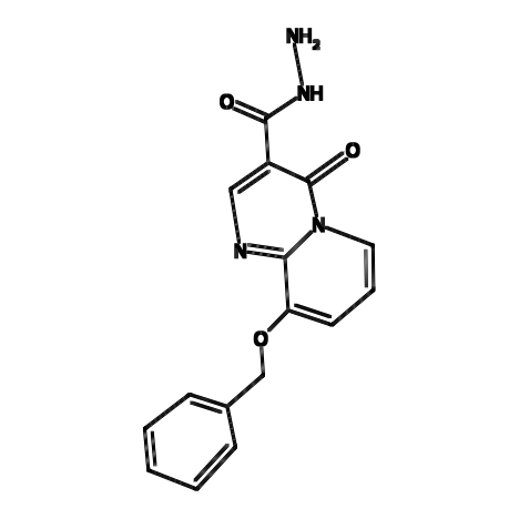 NNC(=O)c1cnc2c(OCc3ccccc3)cccn2c1=O